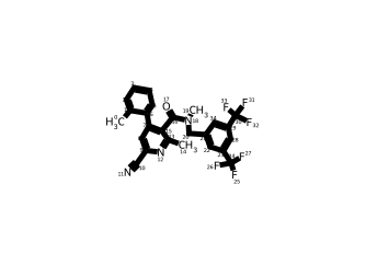 Cc1ccccc1-c1cc(C#N)nc(C)c1C(=O)N(C)Cc1cc(C(F)(F)F)cc(C(F)(F)F)c1